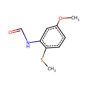 COc1ccc(SC)c(NC=O)c1